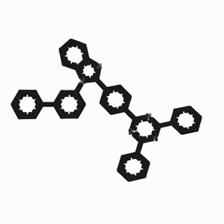 c1ccc(-c2cccc(-n3c(-c4ccc(-c5nc(-c6ccccc6)nc(-c6ccccc6)n5)cc4)nc4ccccc43)c2)cc1